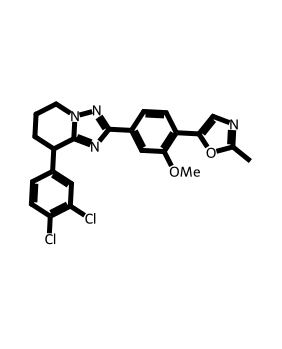 COc1cc(-c2nc3n(n2)CCCC3c2ccc(Cl)c(Cl)c2)ccc1-c1cnc(C)o1